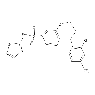 O=S(=O)(Nc1ncns1)c1ccc2c(c1)OCCC2c1ccc(C(F)(F)F)cc1Cl